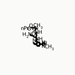 CCCOC(=O)c1sc(NC(=O)CC(CCCN)Nc2nccc3ccc(-c4noc(C)n4)cc23)nc1C